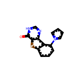 O=c1[nH]cnc2c1sc1cccc(-n3cccc3)c12